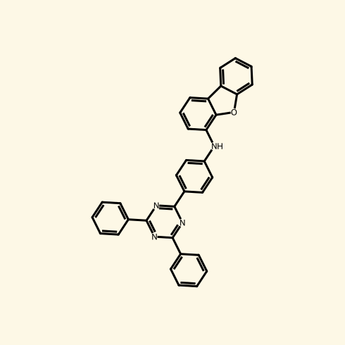 c1ccc(-c2nc(-c3ccccc3)nc(-c3ccc(Nc4cccc5c4oc4ccccc45)cc3)n2)cc1